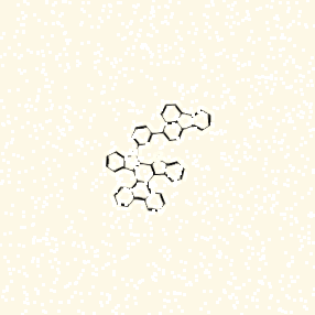 c1cc(-c2ccc3c4c(cccc24)-c2ccccc2-3)cc(-n2c3ccccc3c3c4c5ccccc5c5ccccc5c4c4c5ccccc5sc4c32)c1